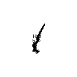 CCCCCCCCCCCCCCCC(=O)Nc1ccc(C(=O)NCCCC(=O)Oc2cccc3c2CCC(N(CCC)CCc2cccs2)C3)cc1